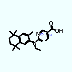 C=C(/N=C\C(=C/C)C(=O)O)N(CC)c1cc2c(cc1C)C(C)(C)CCC2(C)C